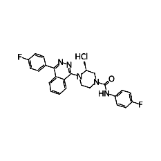 C[C@H]1CN(C(=O)Nc2ccc(F)cc2)CCN1c1nnc(-c2ccc(F)cc2)c2ccccc12.Cl